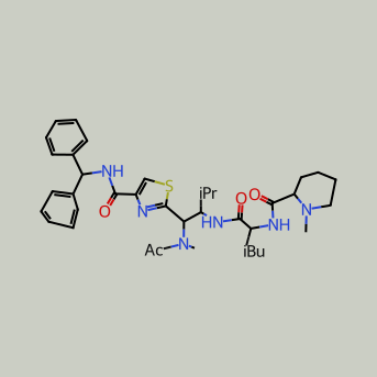 CCC(C)C(NC(=O)C1CCCCN1C)C(=O)NC(C(C)C)C(c1nc(C(=O)NC(c2ccccc2)c2ccccc2)cs1)N(C)C(C)=O